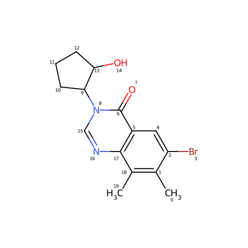 Cc1c(Br)cc2c(=O)n(C3CCCC3O)cnc2c1C